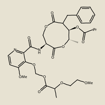 COCCOC(C)C(=O)OCOc1c(OC)ccnc1C(=O)N[C@H]1COC(=O)C(Cc2ccccc2)[C@@H](OC(=O)C(C)C)[C@H](C)OC1=O